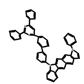 c1ccc(-c2cc(-c3cccc(-c4cccc(-n5c6ccccc6c6cc7cc8ccn(-c9ccccc9)c8cc7cc65)c4)c3)nc(-c3ccccc3)n2)cc1